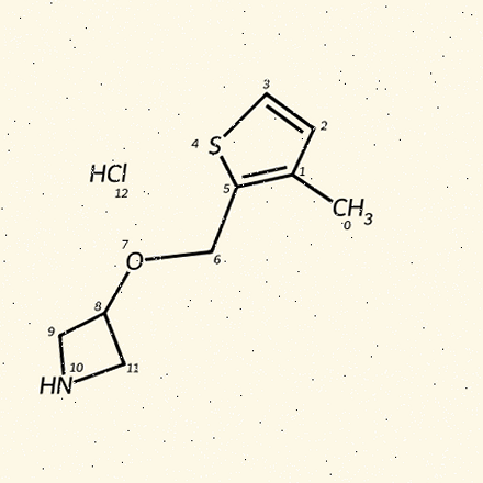 Cc1ccsc1COC1CNC1.Cl